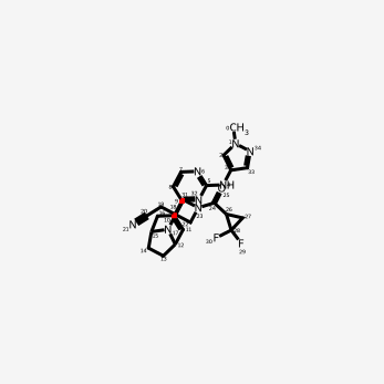 Cn1cc(Nc2nccc(C3=CC4CCC(C3)N4C3(CC#N)CN(C(=O)C4CC4(F)F)C3)n2)cn1